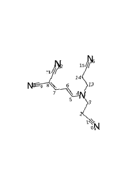 N#CCCN(C=CC=C(C#N)C#N)CCC#N